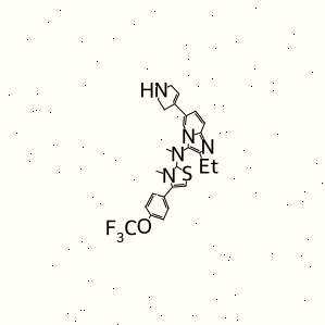 CCc1nc2ccc(C3=CCNCC3)cn2c1N(C)C1SC=C(c2ccc(OC(F)(F)F)cc2)N1C